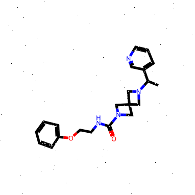 CC(c1cccnc1)N1CC2(CN(C(=O)NCCOc3ccccc3)C2)C1